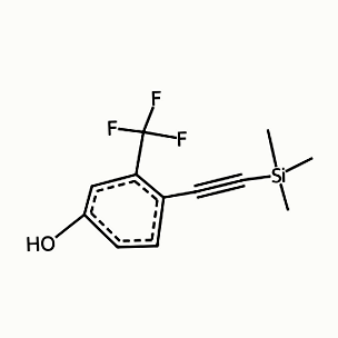 C[Si](C)(C)C#Cc1ccc(O)cc1C(F)(F)F